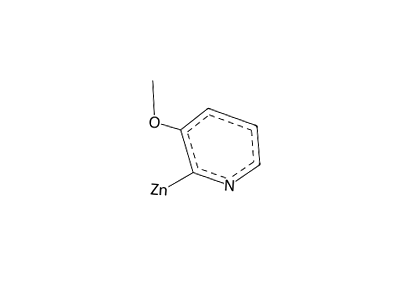 COc1cccn[c]1[Zn]